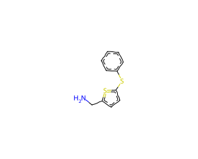 NCc1ccc(Sc2ccccc2)s1